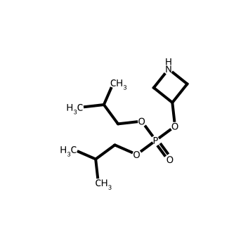 CC(C)COP(=O)(OCC(C)C)OC1CNC1